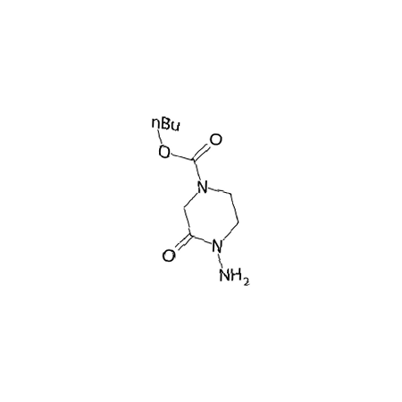 CCCCOC(=O)N1CCN(N)C(=O)C1